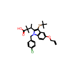 C=CCOc1ccc2c(c1)c(SC(C)(C)C)c(C(C)C(C)(C)C(=O)O)n2Cc1ccc(Cl)cc1